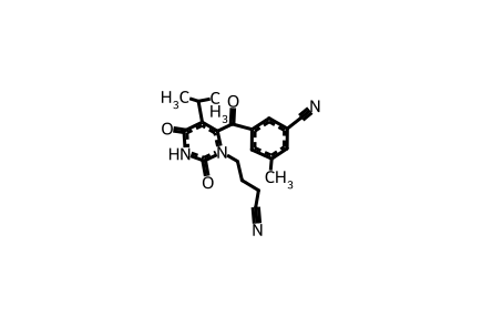 Cc1cc(C#N)cc(C(=O)c2c(C(C)C)c(=O)[nH]c(=O)n2CCCC#N)c1